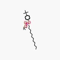 CCCCCCCCCCCCP(=O)([O-])Oc1ccc(C(C)(C)C)cc1.[K+]